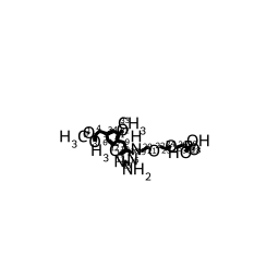 COC(=O)Cc1ccc(Cc2c(C)nc(N)nc2NCCOCCOCCP(=O)(O)O)c(OC)c1